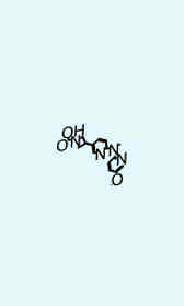 COc1ccc(N(C)c2ccc(C3CN(C(=O)O)C3)cn2)nc1